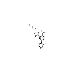 CCCCC(C)[C@@H]1CC(O)=C(c2cc(-c3ccc(Cl)cc3F)ccc2CC)C1=O